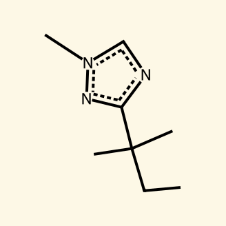 CCC(C)(C)c1ncn(C)n1